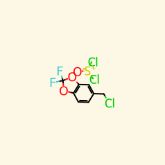 FC1(F)Oc2ccc(CCl)cc2O1.[O-][S+](Cl)Cl